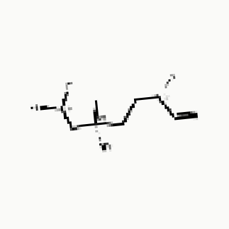 C=C[C@@H](C)CC[C@@](C)(CCC)C[C@H](F)CC